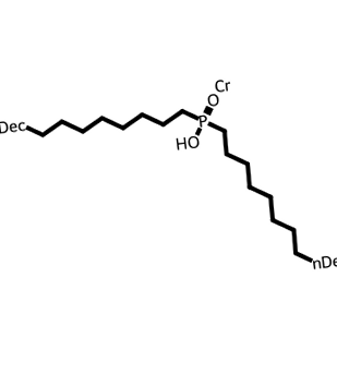 CCCCCCCCCCCCCCCCCCP(=O)(O)CCCCCCCCCCCCCCCCCC.[Cr]